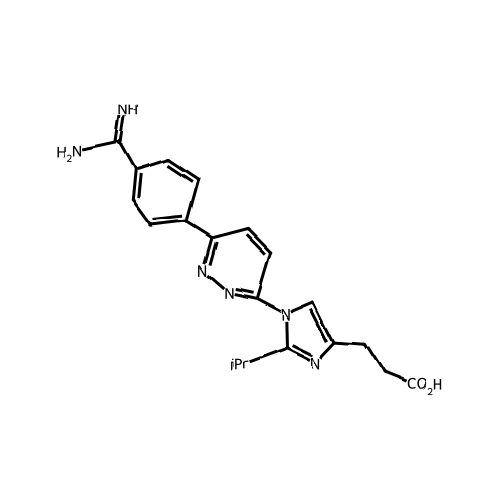 CC(C)c1nc(CCC(=O)O)cn1-c1ccc(-c2ccc(C(=N)N)cc2)nn1